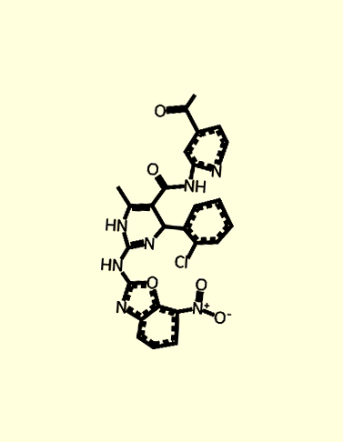 CC(=O)c1ccnc(NC(=O)C2=C(C)NC(Nc3nc4cccc([N+](=O)[O-])c4o3)=NC2c2ccccc2Cl)c1